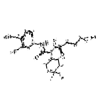 CC(C)(C)c1ccc(NC(=O)C(NC(=O)CCCC(=O)O)C2CCC(F)(F)CC2)cc1F